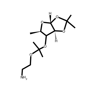 C[C@H]1O[C@@H]2OC(C)(C)O[C@H]2C1OC(C)(C)OCCN